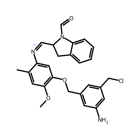 COc1cc(C)c(/N=C\C2Cc3ccccc3N2C=O)cc1OCc1cc(N)cc(CCl)c1